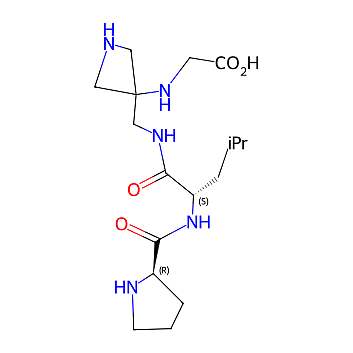 CC(C)C[C@H](NC(=O)[C@H]1CCCN1)C(=O)NCC1(NCC(=O)O)CNC1